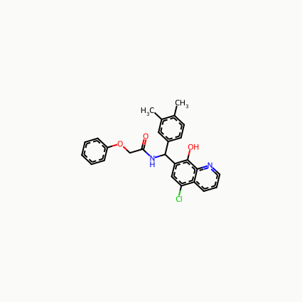 Cc1ccc(C(NC(=O)COc2ccccc2)c2cc(Cl)c3cccnc3c2O)cc1C